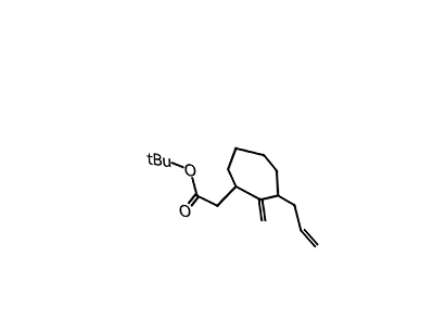 C=CCC1CCCCC(CC(=O)OC(C)(C)C)C1=C